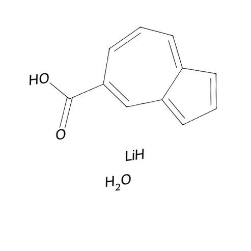 O.O=C(O)c1cccc2cccc-2c1.[LiH]